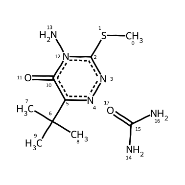 CSc1nnc(C(C)(C)C)c(=O)n1N.NC(N)=O